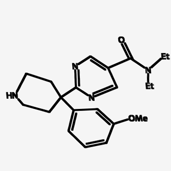 CCN(CC)C(=O)c1cnc(C2(c3cccc(OC)c3)CCNCC2)nc1